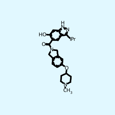 CC(C)c1n[nH]c2cc(O)c(C(=O)N3Cc4ccc(OC5CCN(C)CC5)cc4C3)cc12